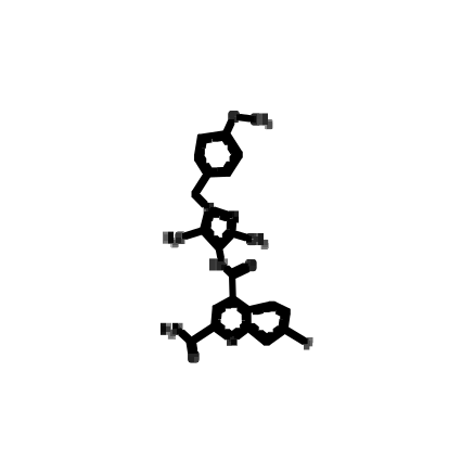 COc1ccc(Cn2nc(C)c(NC(=O)c3cc(C(N)=O)nc4cc(F)ccc34)c2C)cc1